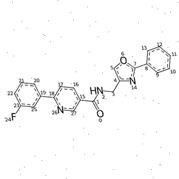 O=C(NCc1coc(-c2ccccc2)n1)c1ccc(-c2cccc(F)c2)nc1